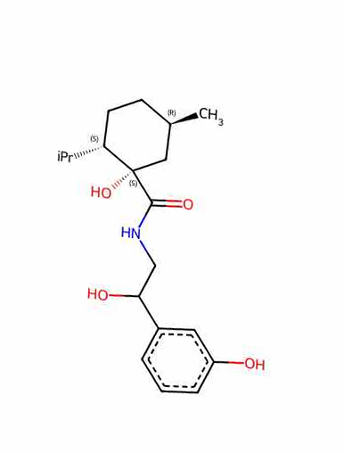 CC(C)[C@@H]1CC[C@@H](C)C[C@@]1(O)C(=O)NCC(O)c1cccc(O)c1